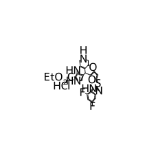 CCOC(=O)c1[nH]cc2c1NC1=C(C(=O)CNC1)C2c1ccc(Sc2nc3cc(F)cc(F)c3[nH]2)o1.Cl